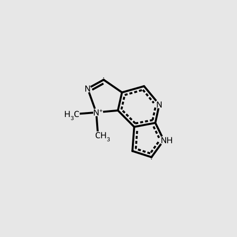 C[N+]1(C)N=[C]c2cnc3[nH][c]cc3c21